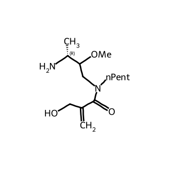 C=C(CO)C(=O)N(CCCCC)CC(OC)[C@@H](C)N